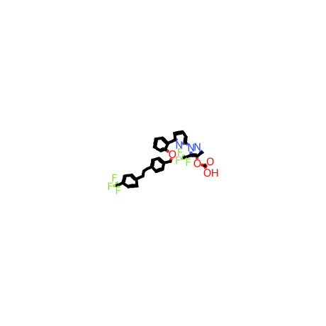 O=C(O)Oc1cnn(-c2cccc(-c3ccccc3OCc3ccc(CCc4ccc(C(F)(F)F)cc4)cc3)n2)c1C(F)(F)F